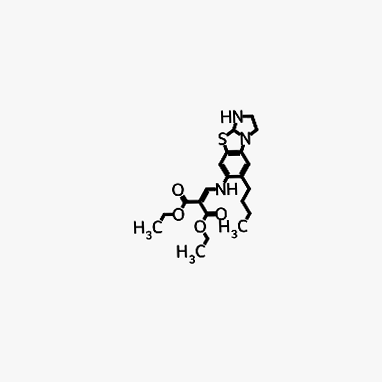 CCCCc1cc2c(cc1NC=C(C(=O)OCC)C(=O)OCC)SC1NCCN21